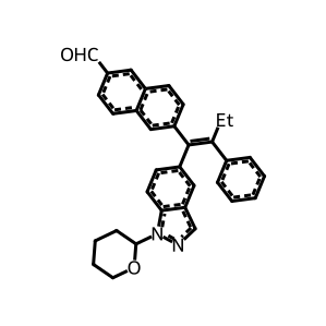 CC/C(=C(\c1ccc2cc(C=O)ccc2c1)c1ccc2c(cnn2C2CCCCO2)c1)c1ccccc1